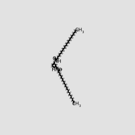 CCCCCCCCCCCCCCCCCCCCCCCC(=O)NCc1cccc(CNC(=O)CCCCCCCCCCCCCCCCCCCCCCC)c1